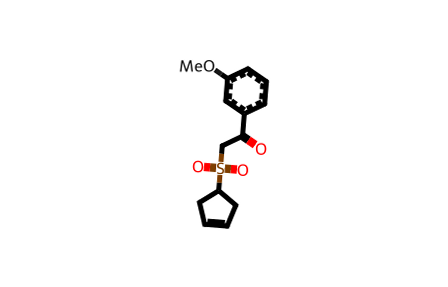 COc1cccc(C(=O)CS(=O)(=O)C2CC=CC2)c1